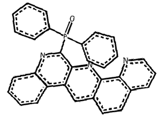 O=P(c1ccccc1)(c1ccccc1)c1nc2ccccc2c2cc3ccc4cccnc4c3nc12